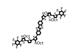 CCCCCCCCc1cc(-c2ccc3c(c2)sc2c4ccc(-c5cc(CCCCCCCC)c(-c6ccc(-c7sc(-c8c(F)c(F)c(F)c(F)c8F)cc7CCCCCCCC)s6)s5)cc4sc32)sc1-c1ccc(-c2sc(-c3c(F)c(F)c(F)c(F)c3F)cc2CCCCCCCC)s1